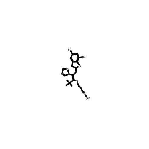 CC(C)(C)C(OCCC=NO)=C(CC1Cc2cc(Cl)cc(Cl)c2O1)n1cncn1